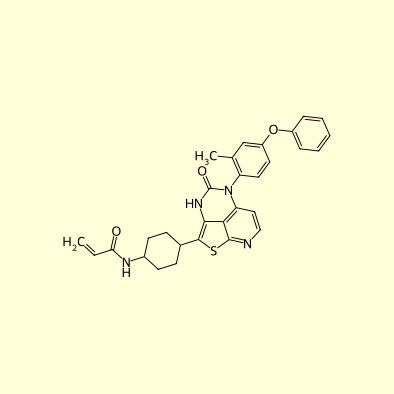 C=CC(=O)NC1CCC(c2sc3nccc4c3c2NC(=O)N4c2ccc(Oc3ccccc3)cc2C)CC1